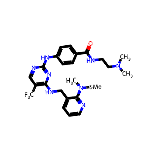 CSN(C)c1ncccc1CNc1nc(Nc2ccc(C(=O)NCCN(C)C)cc2)ncc1C(F)(F)F